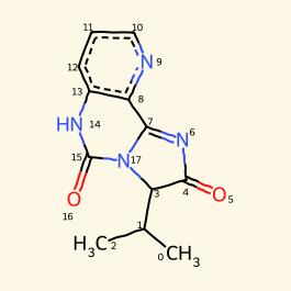 CC(C)C1C(=O)N=C2c3ncccc3NC(=O)N21